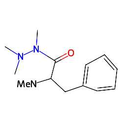 CNC(Cc1ccccc1)C(=O)N(C)N(C)C